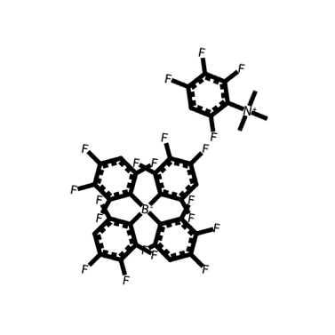 C[N+](C)(C)c1c(F)cc(F)c(F)c1F.Fc1cc(F)c([B-](c2c(F)cc(F)c(F)c2F)(c2c(F)cc(F)c(F)c2F)c2c(F)cc(F)c(F)c2F)c(F)c1F